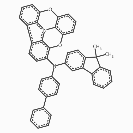 CC1(C)c2ccccc2-c2cc(N(c3ccc(-c4ccccc4)cc3)c3ccc4c5cccc6c5n5c4c3Oc3cccc(c3-5)O6)ccc21